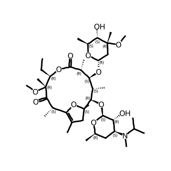 CC[C@H]1OC(=O)[C@H](C)[C@@H](O[C@H]2C[C@@](C)(OC)[C@@H](O)[C@H](C)O2)[C@H](C)[C@@H](O[C@@H]2O[C@H](C)C[C@H](N(C)C(C)C)[C@H]2O)[C@]2(C)CC(C)=C(O2)[C@H](C)C(=O)[C@]1(C)OC